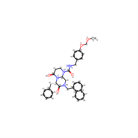 COCOc1ccc(CNC(=O)N2CCC(=O)N3C2CN(Cc2cccc4ccccc24)C(=O)[C@@H]3Cc2ccccc2)cc1